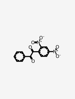 O=C(C(=O)c1ccc([N+](=O)[O-])cc1[N+](=O)[O-])c1ccccc1